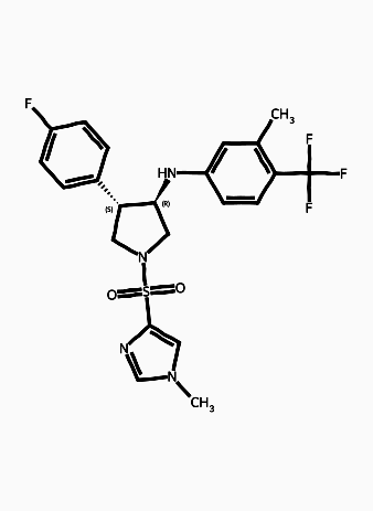 Cc1cc(N[C@H]2CN(S(=O)(=O)c3cn(C)cn3)C[C@@H]2c2ccc(F)cc2)ccc1C(F)(F)F